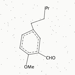 COc1ccc(CCC(C)C)cc1C=O